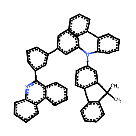 CC1(C)c2ccccc2-c2ccc(N(c3cccc(-c4cccc(-c5nc6ccccc6c6ccccc56)c4)c3)c3ccccc3-c3ccccc3)cc21